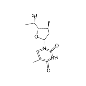 [2H][C@@H](C)[C@H]1O[C@@H](n2cc(C)c(=O)[nH]c2=O)C[C@@H]1C